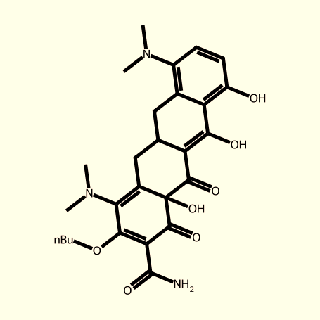 CCCCOC1=C(C(N)=O)C(=O)C2(O)C(=O)C3=C(O)c4c(O)ccc(N(C)C)c4CC3CC2=C1N(C)C